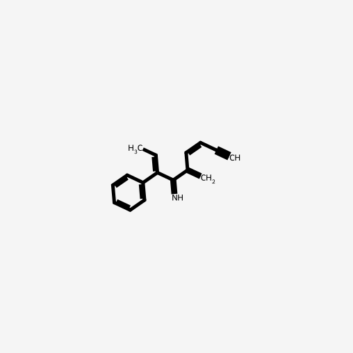 C#C/C=C\C(=C)C(=N)/C(=C/C)c1ccccc1